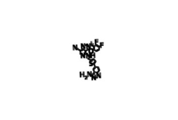 C[C@@H](c1cccc(F)c1F)n1cnc2c(C#N)cnc(NCc3ccc(-c4ccc5ncnc(N)c5c4)s3)c2c1=O